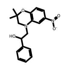 CC1(C)CN(CC(O)c2ccccc2)c2cc([N+](=O)[O-])ccc2O1